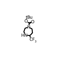 CC(C)(C)OC(=O)N1CCNC(C(F)(F)F)CC1